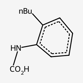 CCCCc1ccccc1NC(=O)O